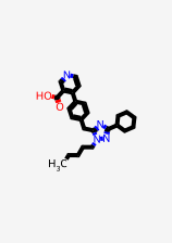 CCCCCn1nc(C2CCCCC2)nc1Cc1ccc(-c2ccncc2C(=O)O)cc1